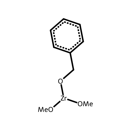 C[O][Zr]([O]C)[O]Cc1ccccc1